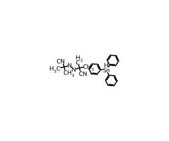 CC(C)(C#N)N=NC(C)(C)C#N.c1cc[c]([SnH]([c]2ccccc2)[c]2ccccc2)cc1